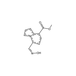 COC(=O)c1ccc(/C=N\O)n2cccc12